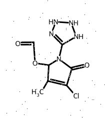 CC1=C(Cl)C(=O)N(C2=NNNN2)C1OC=O